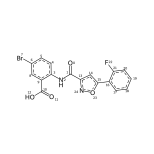 O=C(Nc1ccc(Br)cc1C(=O)O)c1cc(-c2ccccc2F)on1